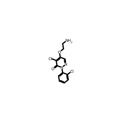 NCCOc1cnn(-c2ccccc2Cl)c(=O)c1Cl